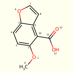 COc1ccc2occc2c1C(=O)O